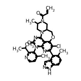 C=CC(=O)N1CC2COc3c(Cl)c(-c4c(C)ccc5[nH]ncc45)nc4c3c(nc(=O)n4-c3c(C)ccnc3C(C)C)N2CC1C